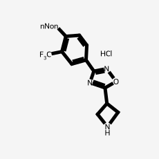 CCCCCCCCCc1ccc(-c2noc(C3CNC3)n2)cc1C(F)(F)F.Cl